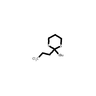 CC(C)(C)C1(CCC(Cl)(Cl)Cl)SCCCS1